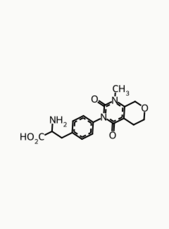 Cn1c2c(c(=O)n(-c3ccc(CC(N)C(=O)O)cc3)c1=O)CCOC2